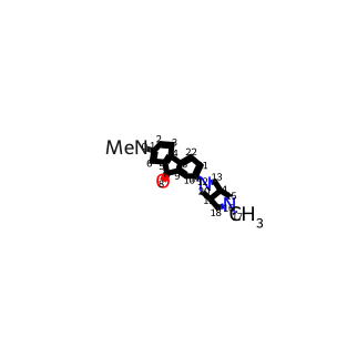 CNc1ccc2c(c1)C(=O)c1cc(N3CC4CN(C)CC4C3)ccc1-2